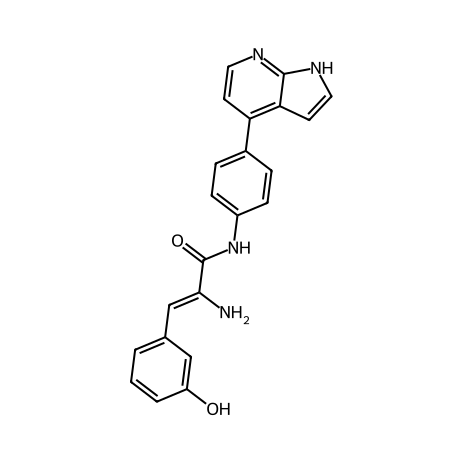 NC(=Cc1cccc(O)c1)C(=O)Nc1ccc(-c2ccnc3[nH]ccc23)cc1